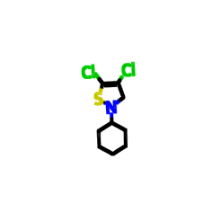 ClC1=C(Cl)SN(C2CCCCC2)C1